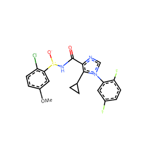 COc1ccc(Cl)c([S+]([O-])NC(=O)c2ncn(-c3cc(F)ccc3F)c2C2CC2)c1